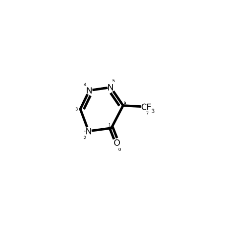 O=C1[N][C]=NN=C1C(F)(F)F